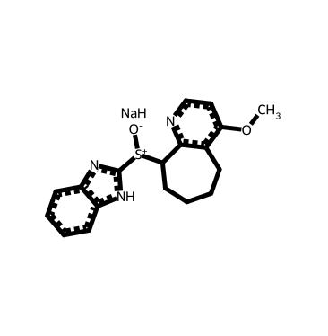 COc1ccnc2c1CCCCC2[S+]([O-])c1nc2ccccc2[nH]1.[NaH]